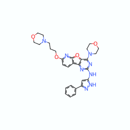 c1ccc(-c2cc(Nc3nc(N4CCOCC4)c4oc5nc(OCCCN6CCOCC6)ccc5c4n3)[nH]n2)cc1